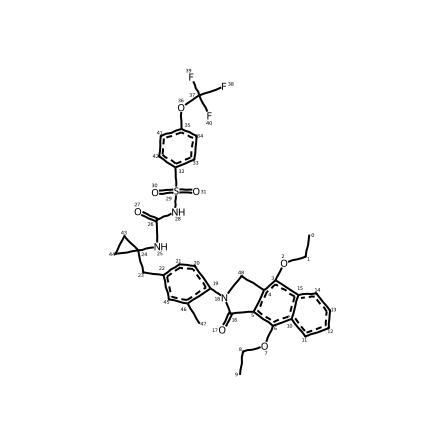 CCOc1c2c(c(OCC)c3ccccc13)C(=O)N(c1ccc(CC3(NC(=O)NS(=O)(=O)c4ccc(OC(F)(F)F)cc4)CC3)cc1C)C2